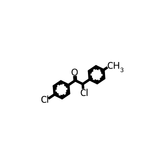 Cc1ccc(C(Cl)C(=O)c2ccc(Cl)cc2)cc1